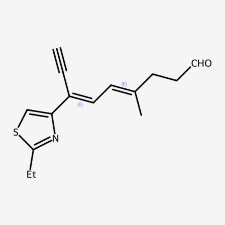 C#C/C(=C\C=C(/C)CCC=O)c1csc(CC)n1